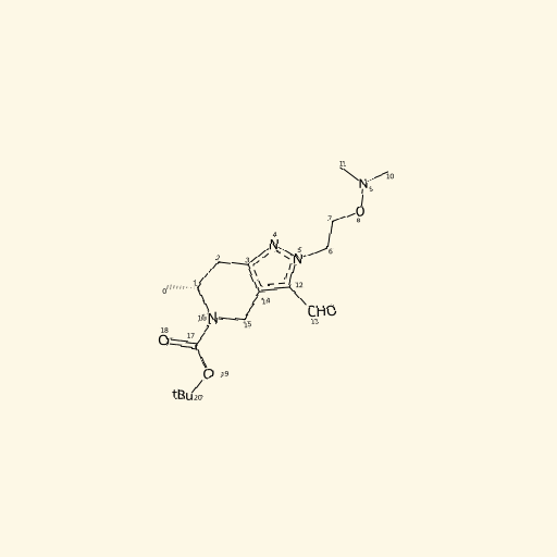 C[C@@H]1Cc2nn(CCON(C)C)c(C=O)c2CN1C(=O)OC(C)(C)C